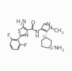 Cn1ncc(NC(=O)c2nc(-c3c(F)cccc3F)sc2N)c1[C@H]1CCC[C@@H](N)C1